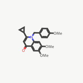 COc1ccc(Cn2c(C3CC3)cc(=O)c3cc(OC)c(OC)cc32)cc1